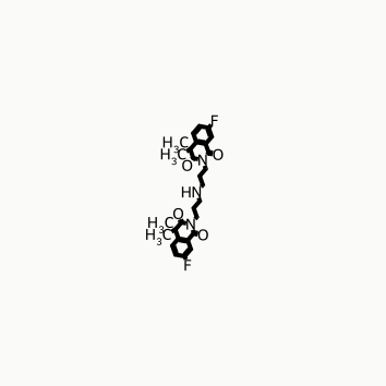 CC1(C)C(=O)N(CCCNCCCN2C(=O)c3cc(F)ccc3C(C)(C)C2=O)C(=O)c2cc(F)ccc21